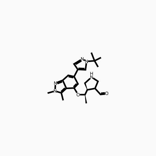 Cc1c2c(O[C@H](C)[C@H]3CNCC3C=O)cc(-c3cnn(C(C)(C)C)c3)cc2nn1C